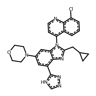 Clc1cccc2c(-n3c(CC4CC4)nc4c(-c5nnc[nH]5)cc(N5CCOCC5)cc43)ccnc12